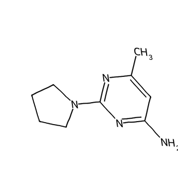 Cc1cc(N)nc(N2CCCC2)n1